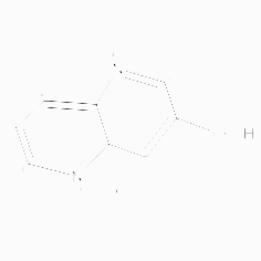 Cl.O=C(O)c1cnc2cccnc2c1